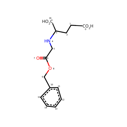 O=C(O)CCC(NCC(=O)OCc1ccccc1)C(=O)O